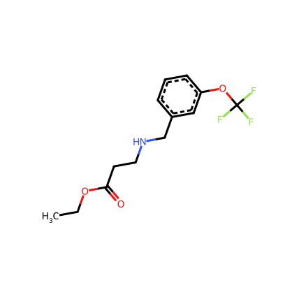 CCOC(=O)CCNCc1cccc(OC(F)(F)F)c1